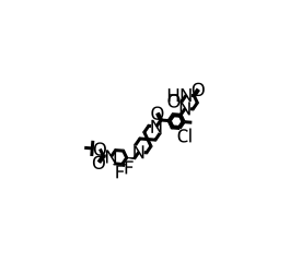 Cc1c(Cl)cc(C(=O)N2CCC3(CCN(C[C@@H]4CCN(C(=O)OC(C)(C)C)CC4(F)F)CC3)CC2)cc1N1CCC(=O)NC1=O